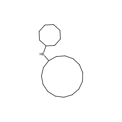 B(C1CCCCCCCCCCCCCC1)C1CCCCCCC1